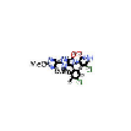 COc1ncc(-c2nc3c(n2C(C)C)[C@H](C2=CC(C)C(Cl)C=C2)N(c2cc(Cl)c[nH]c2=O)C3=O)c(OC)n1